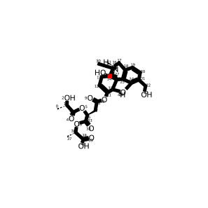 C[C@H](O)C(=O)O[C@@H](CC(=O)OC1=CC[C@@]2(O)[C@H]3Cc4ccc(CO)c5c4[C@@]2(CCN3C)[C@H]1O5)C(=O)O[C@@H](C)C(=O)O